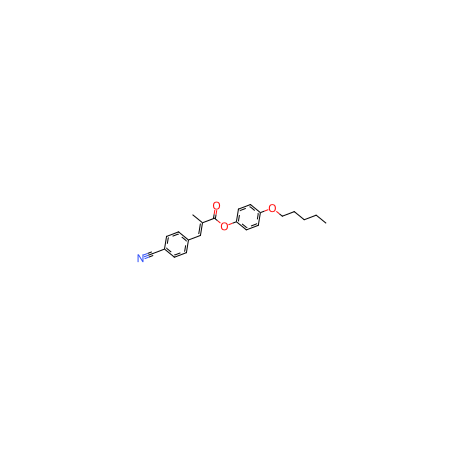 CCCCCOc1ccc(OC(=O)C(C)=Cc2ccc(C#N)cc2)cc1